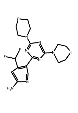 Nc1cc(C(F)F)c(-c2nc(N3CCOCC3)nc(N3CCOCC3)n2)cn1